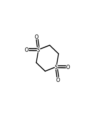 O=S1(=O)CCS(=O)(=O)CC1